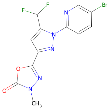 Cn1nc(-c2cc(C(F)F)n(-c3ccc(Br)cn3)n2)oc1=O